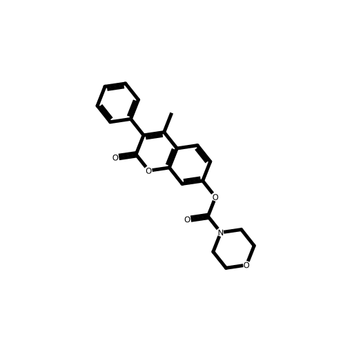 Cc1c(-c2ccccc2)c(=O)oc2cc(OC(=O)N3CCOCC3)ccc12